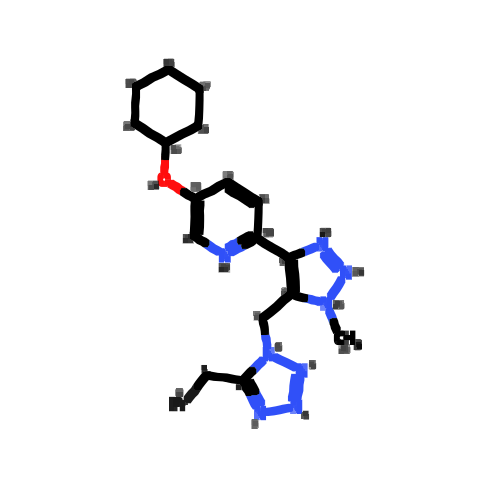 CC(C)Cc1nnnn1Cc1c(-c2ccc(OC3CCCCC3)cn2)nnn1C